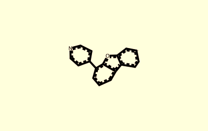 [c]1ccc2c(c1)oc1c(-c3ccncc3)cccc12